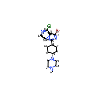 CN1CCN([C@H]2CC[C@H](c3nc(Br)c4c(Cl)nccn43)CC2)CC1